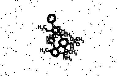 CCc1c(-c2cn(-c3c(C)ccc(C(N)=O)c3-c3cc(C(C)(C)C)cc(NS(C)(=O)=O)c3OC)nn2)cnn1-c1ccccc1